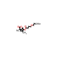 CCC1C2OC(=O)C1(C#N)CC(C)C2OC(=O)CCCOCCOC